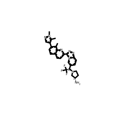 Cc1c(-c2cnn(C)c2C)ccc2ccc(-c3nnc4ccc([C@@H](N5CC[C@H](N)C5)C(F)(F)F)cn34)nc12